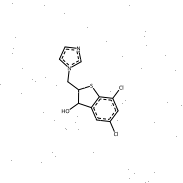 OC1c2cc(Cl)cc(Cl)c2SC1Cn1ccnc1